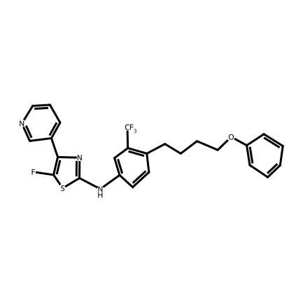 Fc1sc(Nc2ccc(CCCCOc3ccccc3)c(C(F)(F)F)c2)nc1-c1cccnc1